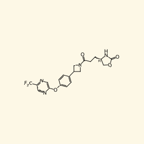 O=C1N[C@H](CCC(=O)N2CC(c3ccc(Oc4cnc(C(F)(F)F)cn4)cc3)C2)CO1